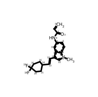 C=CC(=O)Nc1ccc2c(c1)c(C=CC1CCC(F)(F)CC1)cn2C